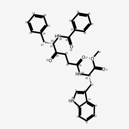 COC(=O)[C@H](Cc1c[nH]c2ccccc12)NC(=O)CCC(=O)[C@H](Cc1ccccc1)NC(=O)c1ccccc1